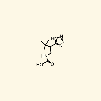 CC(C)(C)C(CNC(=O)O)c1nnn[nH]1